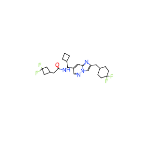 O=C(CC1CC(F)(F)C1)NC(c1cnn2cc(CC3CCC(F)(F)CC3)nc2c1)C1CCC1